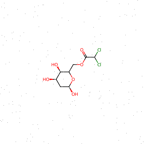 O=C(OCC1O[C@@H](O)C[C@@H](O)[C@H]1O)C(Cl)Cl